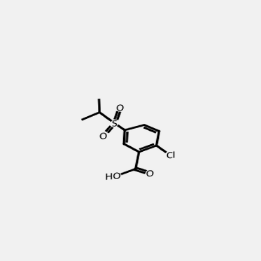 CC(C)S(=O)(=O)c1ccc(Cl)c(C(=O)O)c1